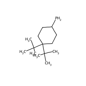 CC(C)(C)C1(C(C)(C)C)CCC(P)CC1